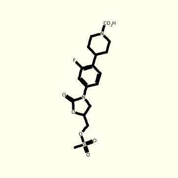 CS(=O)(=O)OCC1CN(c2ccc(C3CCN(C(=O)O)CC3)c(F)c2)C(=O)O1